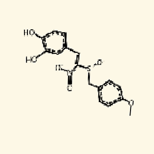 COc1ccc(C[S+]([O-])C(=Cc2ccc(O)c(O)c2)[N+](=O)[O-])cc1